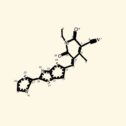 CCN1C(=O)C(C#N)=C(C)/C(=C/c2cc3sc(-c4nccs4)nc3s2)C1=O